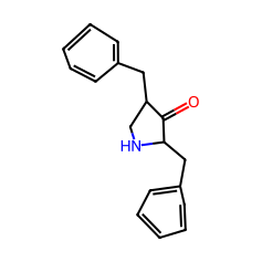 O=C1C(Cc2ccccc2)CNC1Cc1ccccc1